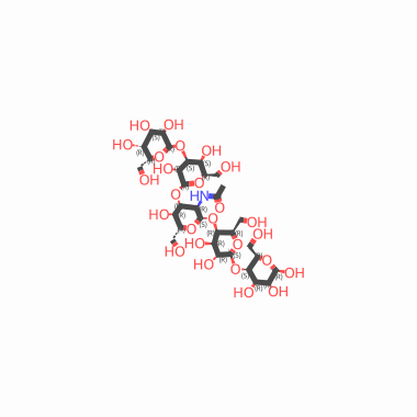 CC(=O)N[C@H]1[C@H](O[C@@H]2[C@H](O)[C@@H](O)[C@H](O[C@H]3[C@H](O)[C@@H](O)[C@H](O)O[C@@H]3CO)O[C@@H]2CO)O[C@H](CO)[C@H](O)[C@@H]1O[C@@H]1O[C@H](CO)[C@H](O)[C@H](O[C@H]2O[C@H](CO)[C@H](O)[C@H](O)[C@H]2O)[C@H]1O